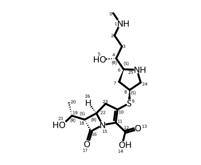 CNCC[C@@H](O)[C@@H]1C[C@H](SC2=C(C(=O)O)N3C(=O)[C@H]([C@@H](C)O)[C@H]3C2)CN1